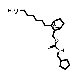 O=C(O)CCCCCCC1C2CCC(O2)C1COC(=O)NCC1CCCC1